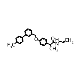 C=CCNC(=O)C(C)c1ccc(OCc2cccc(-c3ccc(C(F)(F)F)cc3)c2)cc1